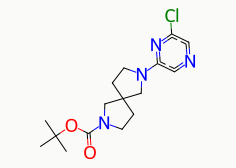 CC(C)(C)OC(=O)N1CCC2(CCN(c3cncc(Cl)n3)C2)C1